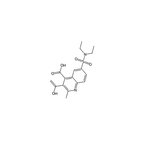 C=C(O)c1c(C)nc2ccc(S(=O)(=O)N(CC)CC)cc2c1C(=O)O